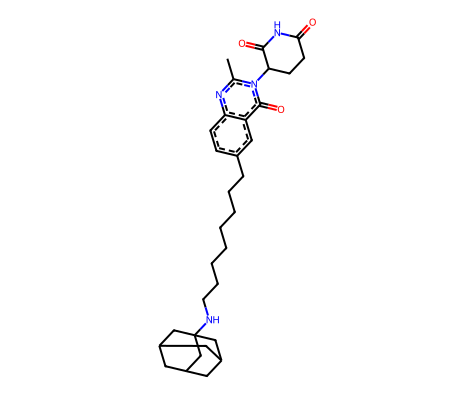 Cc1nc2ccc(CCCCCCCCNC34CC5CC(CC(C5)C3)C4)cc2c(=O)n1C1CCC(=O)NC1=O